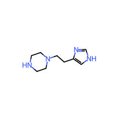 c1nc(CCN2CCNCC2)c[nH]1